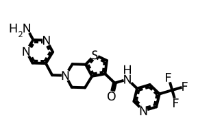 Nc1ncc(CN2CCc3c(C(=O)Nc4cncc(C(F)(F)F)c4)csc3C2)cn1